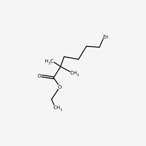 CCOC(=O)C(C)(C)CCC[CH2][Zn]